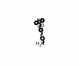 NCC1CCN(CCc2ccc(OC(=O)c3c4ccccc4nc4ccccc34)cc2)CC1